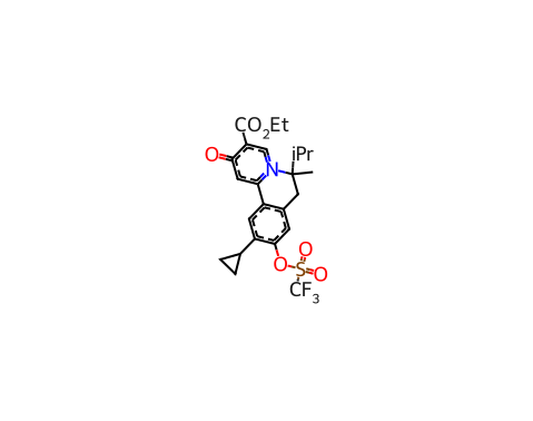 CCOC(=O)c1cn2c(cc1=O)-c1cc(C3CC3)c(OS(=O)(=O)C(F)(F)F)cc1CC2(C)C(C)C